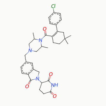 CC1CN(Cc2ccc3c(c2)CN(C2CCC(=O)NC2=O)C3=O)CC(C)N1C(=O)C1=C(c2ccc(Cl)cc2)CC(C)(C)CC1